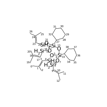 CC(C)=C[SiH2]O[Si](O[SiH2]C=C(C)C)(O[Si](O[SiH2]C=C(C)C)(O[SiH2]C=C(C)C)C1CCCCC1)C1CCCCC1